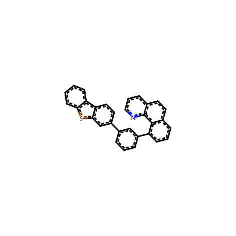 c1cc(-c2ccc3c(c2)sc2ccccc23)cc(-c2cccc3ccc4cccnc4c23)c1